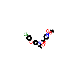 CC(C)C(=O)N(CC(=O)C1CCN(C(=O)OC(C)(C)C)CC1)c1ccc(Oc2ccc(Cl)cc2)cc1